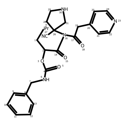 CC(C)CC(OC(=O)NCc1ccccc1)C(=O)N(C(=O)Cc1ccncc1)C1(C#N)CCNC1